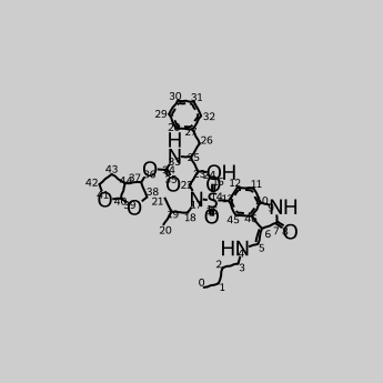 CCCCN/C=C1/C(=O)Nc2ccc(S(=O)(=O)N(CC(C)C)CC(O)C(Cc3ccccc3)NC(=O)OC3COC4OCCC34)cc21